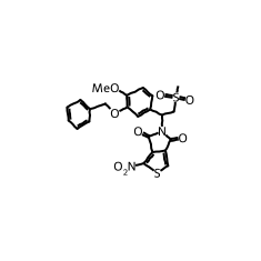 COc1ccc(C(CS(C)(=O)=O)N2C(=O)c3csc([N+](=O)[O-])c3C2=O)cc1OCc1ccccc1